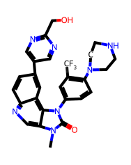 Cn1c(=O)n(-c2ccc(N3CCNCC3)c(C(F)(F)F)c2)c2c3cc(-c4cnc(CO)nc4)ccc3ncc21